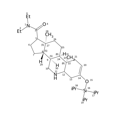 CCN(CC)C(=O)C1CC[C@H]2[C@@H]3CNC4CC(O[Si](C(C)C)(C(C)C)C(C)C)=CC[C@]4(C)[C@@H]3CC[C@]12C